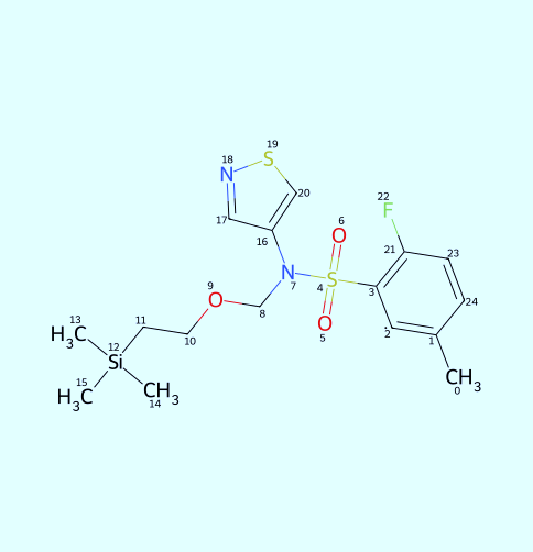 Cc1[c]c(S(=O)(=O)N(COCC[Si](C)(C)C)c2cnsc2)c(F)cc1